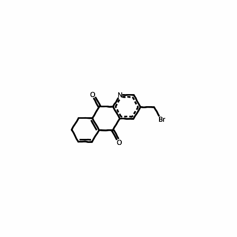 O=C1C2=C(CCC=C2)C(=O)c2ncc(CBr)cc21